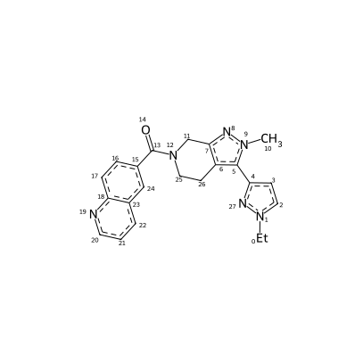 CCn1ccc(-c2c3c(nn2C)CN(C(=O)c2ccc4ncccc4c2)CC3)n1